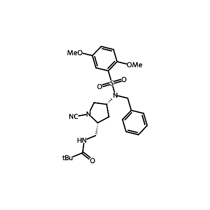 COc1ccc(OC)c(S(=O)(=O)N(Cc2ccccc2)[C@@H]2C[C@H](CNC(=O)C(C)(C)C)N(C#N)C2)c1